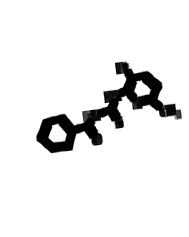 CCc1ccc(C)nc1NC(=S)NC(=O)c1ccccc1